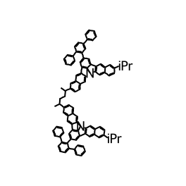 CC(C)c1ccc2cc3c(cc2c1)c1cc(-c2cc(-c4ccccc4)ccc2-c2ccccc2)cc2c4cc5cc(C(C)CCC(C)c6ccc7cc8c(cc7c6)c6cc(-c7c(-c9ccccc9)cccc7-c7ccccc7)cc7c9cc%10cc(C(C)C)ccc%10cc9n8c76)ccc5cc4n3c12